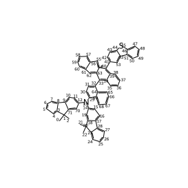 CC1(C)c2ccccc2-c2ccc(N(c3ccc4c(c3)C(C)(C)c3ccccc3-4)c3ccc(-c4c5ccccc5c(-c5ccc6sc7ccccc7c6c5)c5cc6ccccc6cc45)c4ccccc34)cc21